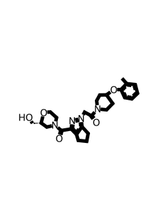 Cc1ccccc1OC1CCN(C(=O)Cn2nc(C(=O)N3CCO[C@@H](CO)C3)c3c2CCC3)CC1